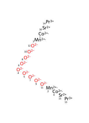 [Co+2].[Co+2].[Mn+2].[Mn+2].[O-2].[O-2].[O-2].[O-2].[O-2].[O-2].[O-2].[O-2].[O-2].[Pr+3].[Pr+3].[Sr+2].[Sr+2]